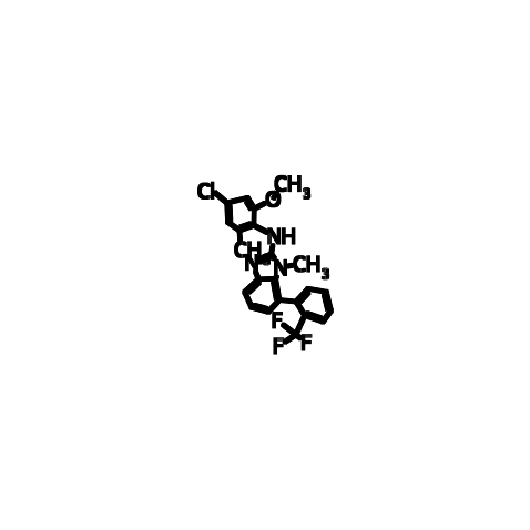 COc1cc(Cl)cc(C)c1Nc1nc2cccc(-c3ccccc3C(F)(F)F)c2n1C